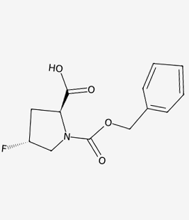 O=C(O)[C@@H]1C[C@@H](F)CN1C(=O)OCc1ccccc1